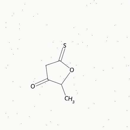 CC1OC(=S)CC1=O